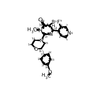 Bc1c(-c2ccncc2F)nc(N2CCO[C@@H](c3ccc(OC)cc3)C2)n(C)c1=O